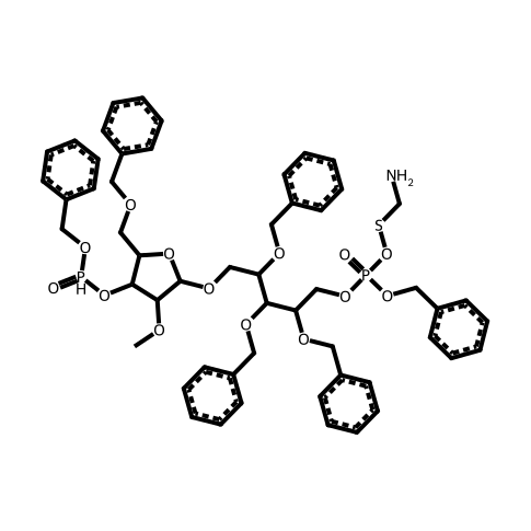 COC1C(OCC(OCc2ccccc2)C(OCc2ccccc2)C(COP(=O)(OCc2ccccc2)OSCN)OCc2ccccc2)OC(COCc2ccccc2)C1O[PH](=O)OCc1ccccc1